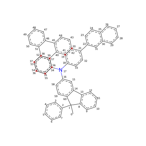 CC1(c2ccccc2)c2ccccc2-c2cc(N(c3ccc(-c4ccc5ccccc5c4)cc3)c3ccccc3-c3ccccc3-c3ccccc3-c3ccccc3)ccc21